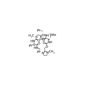 CSC[C@H](NC(=O)OCC1=NCCN1C)C(=O)N[C@@H](CC(C)C)[C@@H](O)C[C@@H](C)C(=O)N[C@@H](C(=O)NCC(C)C)C(C)C